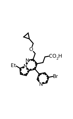 CCc1ccc2c(-c3cncc(Br)c3)c(CCC(=O)O)c(COCC3CC3)nn12